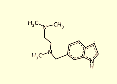 CN(C)CCN(C)Cc1ccc2[c]c[nH]c2c1